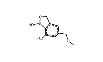 CCCCc1cc(COI)cc2c1B(O)OC2